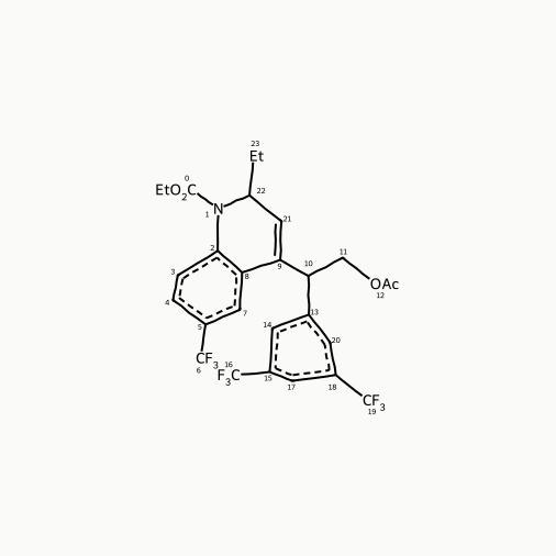 CCOC(=O)N1c2ccc(C(F)(F)F)cc2C(C(COC(C)=O)c2cc(C(F)(F)F)cc(C(F)(F)F)c2)=CC1CC